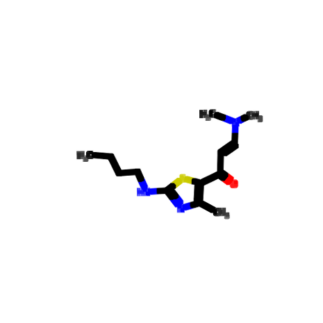 CCCCNc1nc(C)c(C(=O)C=CN(C)C)s1